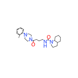 Cc1ccccc1N1CCN(C(=O)CCCNC(=O)N2CCCC3CCCCC32)CC1